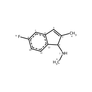 CNC1C(C)=Cc2cc(F)ccc21